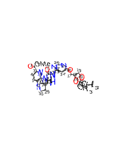 COC(=O)c1ccc2c(n1)N(C(=O)Nc1cc(OCC3COC(C)(C)O3)ncn1)[C@H]1CCN2C1